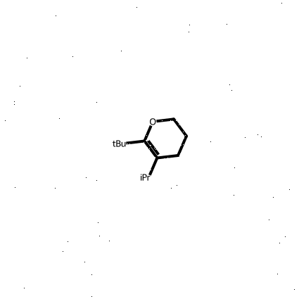 CC(C)C1=C(C(C)(C)C)OCCC1